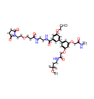 CCNC(=O)COc1cc(OCC(=O)NCCC(C)(C)OCC)cc(-c2cc(OCC=O)cc(C(=O)NCCNC(=O)CCOCCN3C(=O)CCC3=O)c2)c1